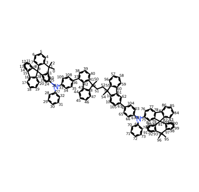 CC1(C)c2ccccc2C2(c3ccccc3-c3ccccc32)c2ccc(N(c3ccccc3)c3ccc(-c4cccc5c4-c4ccccc4C5(C)CCC4(C)c5ccccc5-c5cc(-c6ccc(N(c7ccccc7)c7ccc8c(c7)C7(c9ccccc9-8)c8ccccc8C(C)(C)c8ccccc87)cc6)ccc54)cc3)cc21